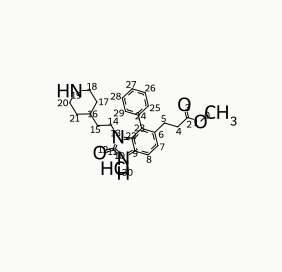 COC(=O)CCc1ccc2[nH]c(=O)n(CCC3CCNCC3)c2c1-c1ccccc1.Cl